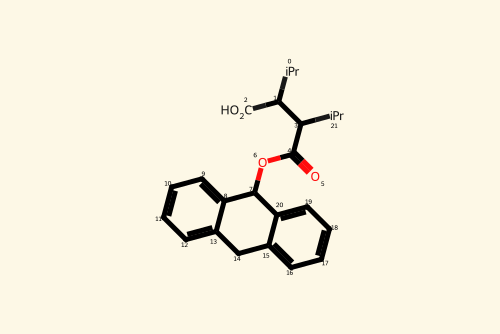 CC(C)C(C(=O)O)C(C(=O)OC1c2ccccc2Cc2ccccc21)C(C)C